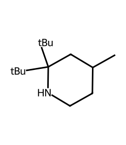 CC1CCNC(C(C)(C)C)(C(C)(C)C)C1